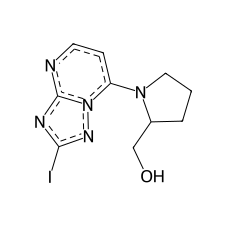 OCC1CCCN1c1ccnc2nc(I)nn12